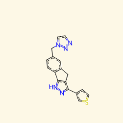 c1cn(Cc2ccc3c(c2)Cc2c(-c4ccsc4)n[nH]c2-3)nn1